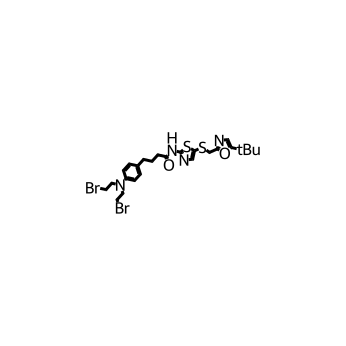 CC(C)(C)c1cnc(CSc2cnc(NC(=O)CCCc3ccc(N(CCBr)CCBr)cc3)s2)o1